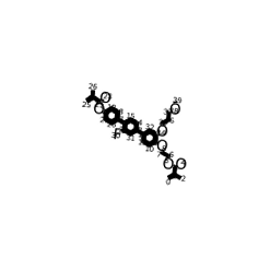 C=C(C)C(=O)OCCOc1ccc(-c2ccc(-c3ccc(OC(=O)C(=C)C)cc3)c(F)c2)cc1OCCCOC